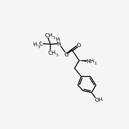 CC(C)(C)NOC(=O)[C@@H](N)Cc1ccc(O)cc1